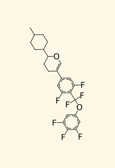 CC1CCC(C2CCC(c3cc(F)c(C(F)(F)Oc4cc(F)c(F)c(F)c4)c(F)c3)=CO2)CC1